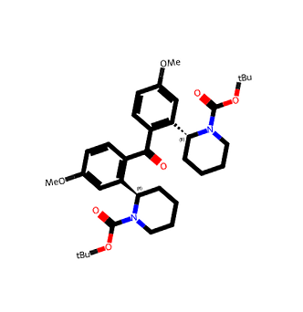 COc1ccc(C(=O)c2ccc(OC)cc2[C@H]2CCCCN2C(=O)OC(C)(C)C)c([C@H]2CCCCN2C(=O)OC(C)(C)C)c1